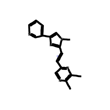 Cc1ncc(/C=C/c2nc(-c3cccnc3)cn2C)nc1C